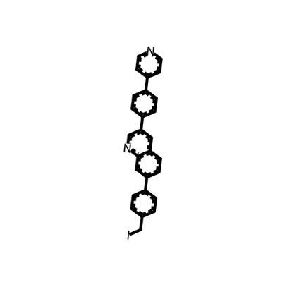 ICc1ccc(-c2ccc3cc(-c4ccc(-c5ccncc5)cc4)cnc3c2)cc1